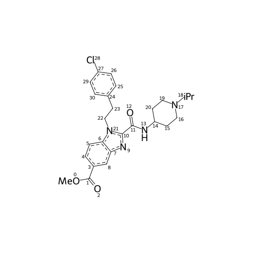 COC(=O)c1ccc2c(c1)nc(C(=O)NC1CCN(C(C)C)CC1)n2CCc1ccc(Cl)cc1